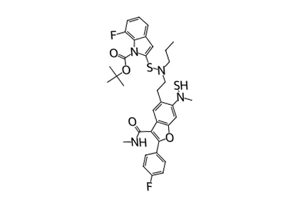 CCCN(CCc1cc2c(C(=O)NC)c(-c3ccc(F)cc3)oc2cc1N(C)S)Sc1cc2cccc(F)c2n1C(=O)OC(C)(C)C